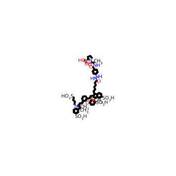 C[C@@H](NC(=O)c1ccc(NNC(=O)CCCCCC2=C(/C=C/C3=C(Oc4ccc(S(=O)(=O)O)cc4)C(=C/C=C4/N(CCCCS(=O)(=O)O)c5ccc(S(=O)(=O)O)cc5C4(C)C)/CCC3)C(C)(C)c3cc(S(=O)(=O)O)ccc32)cc1)C(=O)N1CCC[C@H]1B(O)O